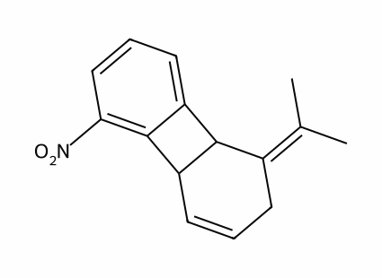 CC(C)=C1CC=CC2c3c(cccc3[N+](=O)[O-])C12